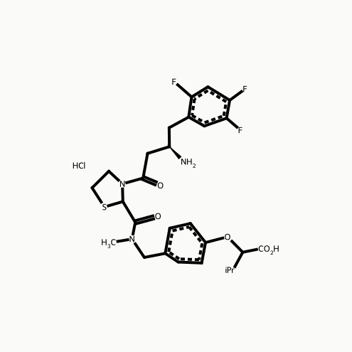 CC(C)C(Oc1ccc(CN(C)C(=O)C2SCCN2C(=O)C[C@H](N)Cc2cc(F)c(F)cc2F)cc1)C(=O)O.Cl